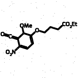 CCOC(=O)CCCOC1=CC=C([N+](=O)[O-])C(=C=O)C1OC